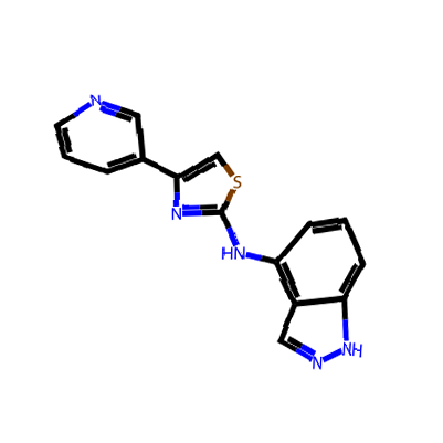 c1cncc(-c2csc(Nc3cccc4[nH]ncc34)n2)c1